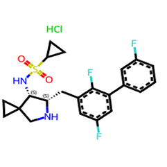 Cl.O=S(=O)(N[C@@H]1[C@H](Cc2cc(F)cc(-c3cccc(F)c3)c2F)NCC12CC2)C1CC1